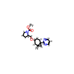 CC(C)OC(=O)N1CCCC1CO[C@@H]1CC[C@]2(c3ncccn3)C[C@@H]2C1